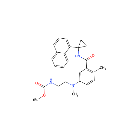 Cc1ccc(N(C)CCNC(=O)OC(C)(C)C)cc1C(=O)NC1(c2cccc3ccccc23)CC1